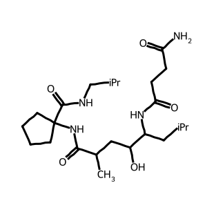 CC(C)CNC(=O)C1(NC(=O)C(C)CC(O)C(CC(C)C)NC(=O)CCC(N)=O)CCCC1